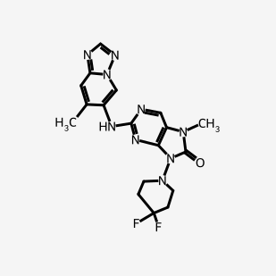 Cc1cc2ncnn2cc1Nc1ncc2c(n1)n(N1CCC(F)(F)CC1)c(=O)n2C